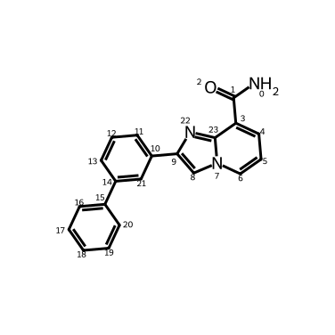 NC(=O)c1cccn2cc(-c3cccc(-c4ccccc4)c3)nc12